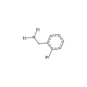 CCN(CC)Cc1ccccc1C(C)C